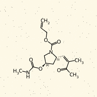 C=CCOC(=O)N1C[C@H](OC(=O)NC)C[C@H]1C=C(C)C(C)=O